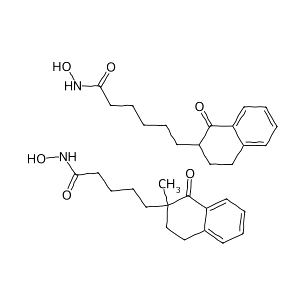 CC1(CCCCC(=O)NO)CCc2ccccc2C1=O.O=C(CCCCCC1CCc2ccccc2C1=O)NO